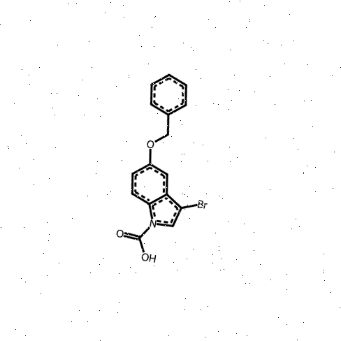 O=C(O)n1cc(Br)c2cc(OCc3ccccc3)ccc21